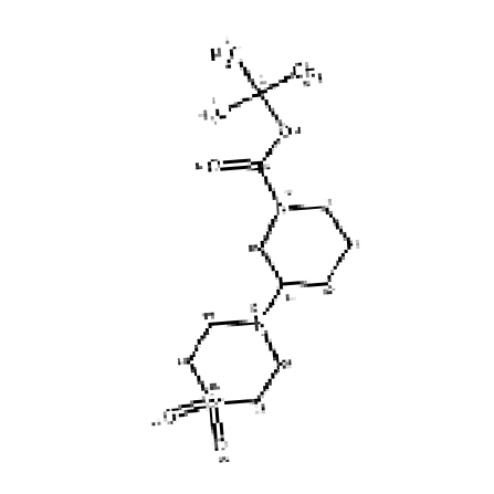 CC(C)(C)OC(=O)N1CCCC(N2CCS(=O)(=O)CC2)C1